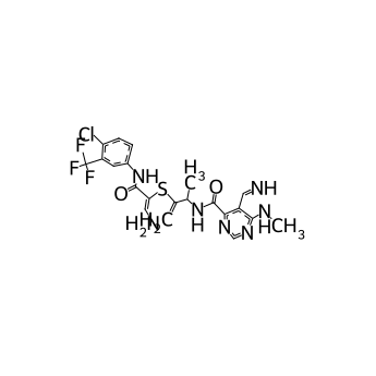 C=C(S/C(=C\N)C(=O)Nc1ccc(Cl)c(C(F)(F)F)c1)C(C)NC(=O)c1ncnc(NC)c1C=N